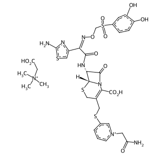 C[N+](C)(C)CC(=O)O.NC(=O)C[n+]1cccc(SCC2=C(C(=O)O)N3C(=O)[C@@H](NC(=O)/C(=N\OCS(=O)(=O)c4ccc(O)c(O)c4)c4csc(N)n4)[C@H]3SC2)c1